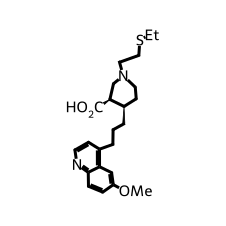 CCSCCN1CC[C@@H](CCCc2ccnc3ccc(OC)cc23)[C@@H](C(=O)O)C1